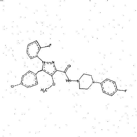 COc1c(C(=O)NN2CCN(c3ccc(F)cc3)CC2)nn(-c2ccccc2F)c1-c1ccc(Cl)cc1